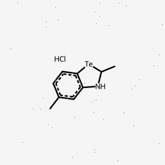 Cc1ccc2c(c1)NC(C)[Te]2.Cl